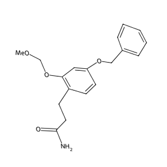 COCOc1cc(OCc2ccccc2)ccc1CCC(N)=O